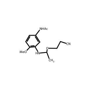 COc1ccc(NC(C)=O)cc1NC(C)OCCC#N